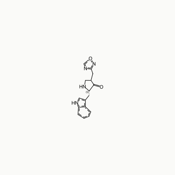 O=C1C(Cc2ncon2)CN[C@H]1Cc1c[nH]c2ccccc12